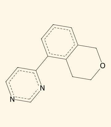 c1cc2c(c(-c3ccncn3)c1)CCOC2